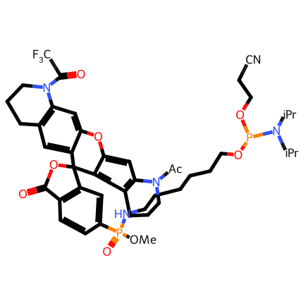 COP(=O)(NCCCCCCOP(OCCC#N)N(C(C)C)C(C)C)c1ccc2c(c1)C1(OC2=O)c2cc3c(cc2Oc2cc4c(cc21)CCCN4C(=O)C(F)(F)F)N(C(C)=O)CCC3